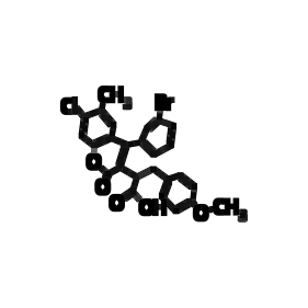 COc1ccc(CC(C(=O)O)c2c(-c3cccc(Br)c3)c3cc(C)c(Cl)cc3oc2=O)cc1